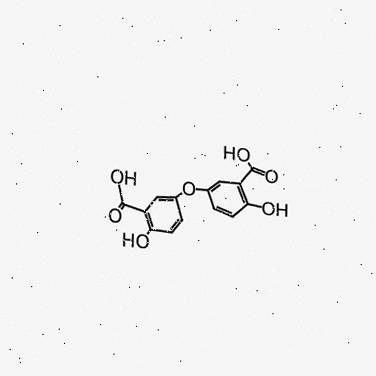 O=C(O)c1cc(Oc2ccc(O)c(C(=O)O)c2)ccc1O